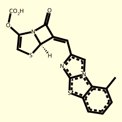 Cc1cccc2sc3nc(/C=C4/C(=O)N5C(OC(=O)O)=CS[C@H]45)cn3c12